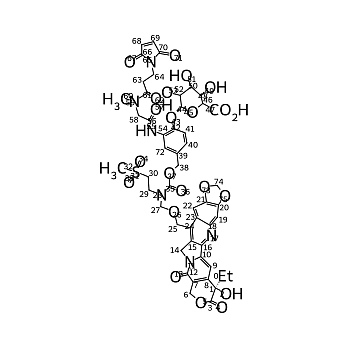 CC[C@]1(O)C(=O)OCc2c1cc1n(c2=O)Cc2c-1nc1cc3c(cc1c2COCN(CCS(C)(=O)=O)C(=O)OCc1ccc(O[C@@H]2OC(C(=O)O)[C@H](O)C(O)C2O)c(NC(=O)CN(C)C(=O)CCN2C(=O)C=CC2=O)c1)OCO3